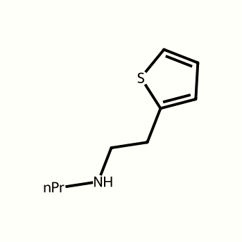 CCCNCCc1cccs1